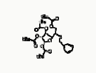 CC(C)(C)C(=O)OC[C@@H](SCc1ccccc1)[C@@H]1O[C@H](OC(=O)C(C)(C)C)[C@H](OC(=O)C(C)(C)C)[C@H]1OC(=O)C(C)(C)C